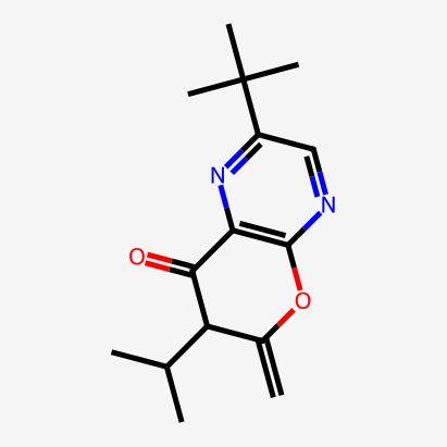 C=C1Oc2ncc(C(C)(C)C)nc2C(=O)C1C(C)C